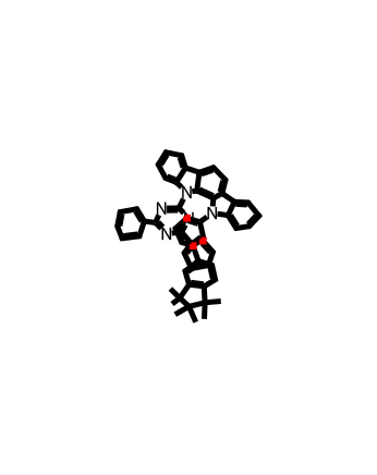 CC1(C)c2ccc(-c3cccc(-n4c5ccccc5c5ccc6c7ccccc7n(-c7nc(-c8ccccc8)nc(-c8ccccc8)n7)c6c54)c3)cc2C(C)(C)C1(C)C